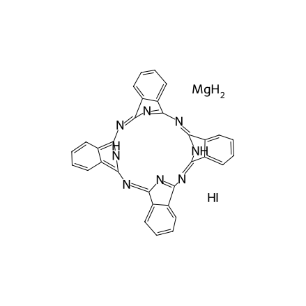 I.[MgH2].c1ccc2c(c1)-c1nc-2nc2[nH]c(nc3nc(nc4[nH]c(n1)c1ccccc41)-c1ccccc1-3)c1ccccc21